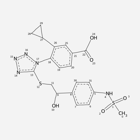 CS(=O)(=O)Nc1ccc(C(O)CSc2nnnn2-c2ccc(C(=O)O)cc2C2CC2)cc1